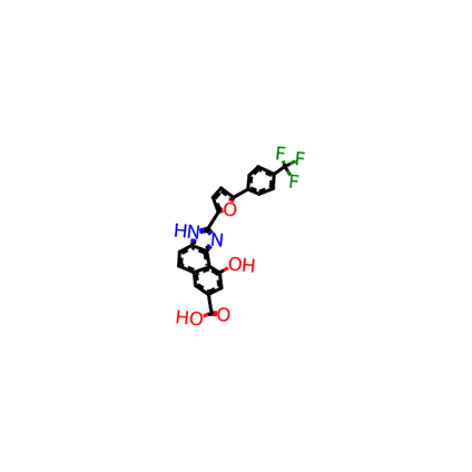 O=C(O)c1cc(O)c2c(ccc3[nH]c(-c4ccc(-c5ccc(C(F)(F)F)cc5)o4)nc32)c1